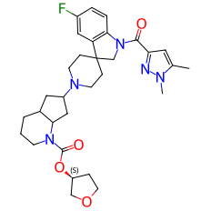 Cc1cc(C(=O)N2CC3(CCN(C4CC5CCCN(C(=O)O[C@H]6CCOC6)C5C4)CC3)c3cc(F)ccc32)nn1C